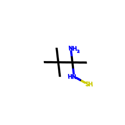 CC(C)(C)C(C)(N)NS